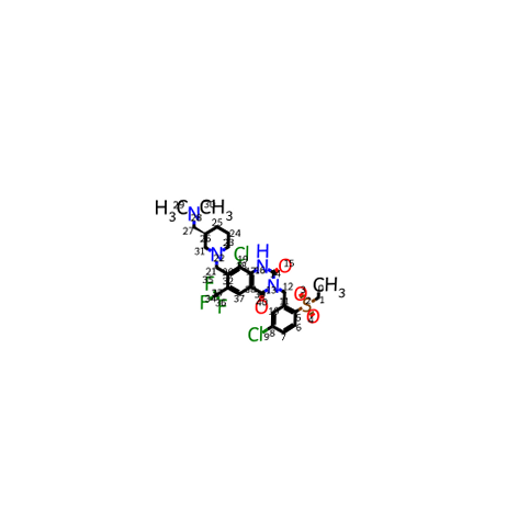 CCS(=O)(=O)c1ccc(Cl)cc1Cn1c(=O)[nH]c2c(Cl)c(CN3CCC[C@H](CN(C)C)C3)c(C(F)(F)F)cc2c1=O